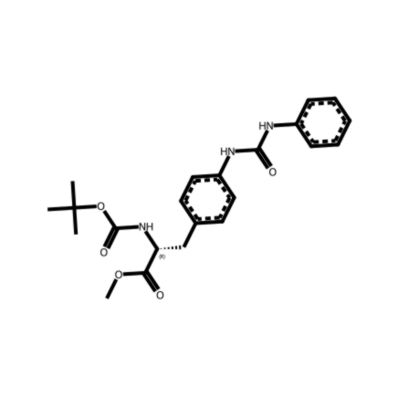 COC(=O)[C@@H](Cc1ccc(NC(=O)Nc2ccccc2)cc1)NC(=O)OC(C)(C)C